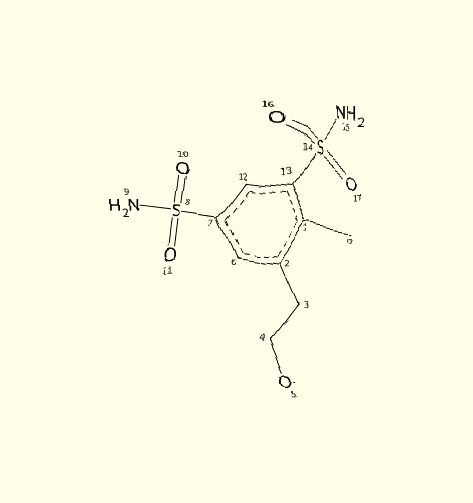 Cc1c(CC[O])cc(S(N)(=O)=O)cc1S(N)(=O)=O